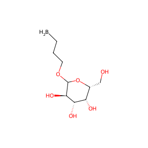 BCCCOC1O[C@H](CO)[C@H](O)[C@H](O)[C@H]1O